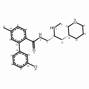 CN[C@@H](CNC(=O)c1ccc(C)cc1-c1cccc(Cl)c1)C[C@H]1CCCOC1